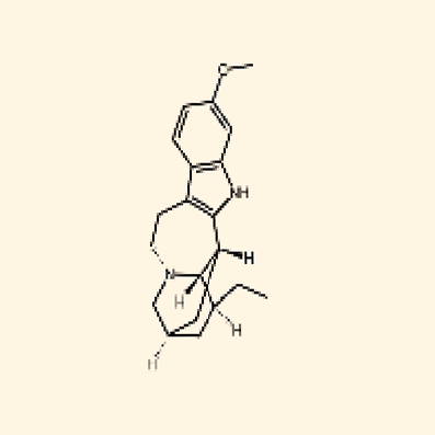 CC[C@H]1C[C@@H]2C[C@H]3c4[nH]c5cc(OC)ccc5c4CC[N@@](C2)[C@@H]13